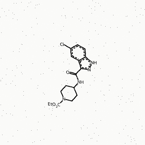 CCOC(=O)N1CCC(NC(=O)c2n[nH]c3ccc(Cl)cc23)CC1